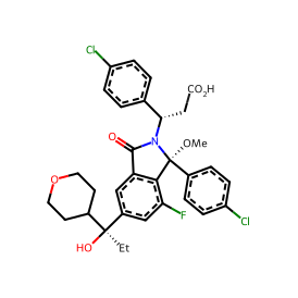 CC[C@@](O)(c1cc(F)c2c(c1)C(=O)N([C@@H](CC(=O)O)c1ccc(Cl)cc1)[C@@]2(OC)c1ccc(Cl)cc1)C1CCOCC1